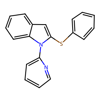 c1ccc(Sc2cc3ccccc3n2-c2ccccn2)cc1